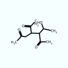 CC(=O)CC(C(C)=O)C(C(C)=O)C(C)O